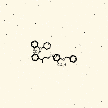 CC(CCC(=O)O)c1ccccc1.O=C(O)c1ccccc1OC1CCCCC1.O=C(O)c1ccccc1OCc1ccccc1